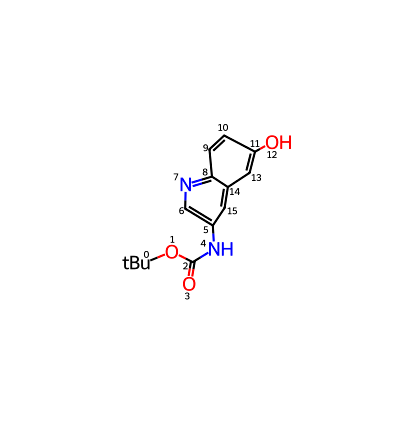 CC(C)(C)OC(=O)Nc1cnc2ccc(O)cc2c1